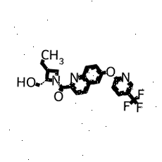 CCC1CN(C(=O)c2ccc3cc(Oc4ccc(C(F)(F)F)cn4)ccc3n2)[C@@H]1CO